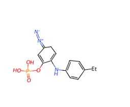 CCc1ccc(NC2=CCC(=[N+]=[N-])C=C2OP(=O)(O)O)cc1